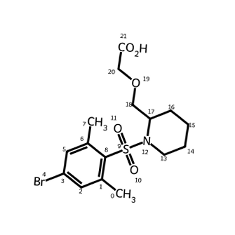 Cc1cc(Br)cc(C)c1S(=O)(=O)N1CCCCC1COCC(=O)O